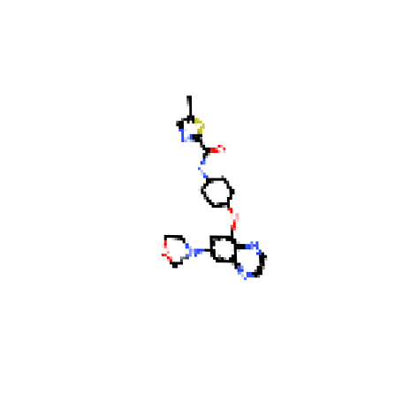 Cc1cnc(C(=O)NC2CCC(Oc3cc(N4CCOCC4)cc4nccnc34)CC2)s1